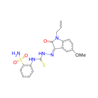 C=CCN1C(=O)C(=NNC(=S)Nc2ccccc2S(N)(=O)=O)c2cc(OC)ccc21